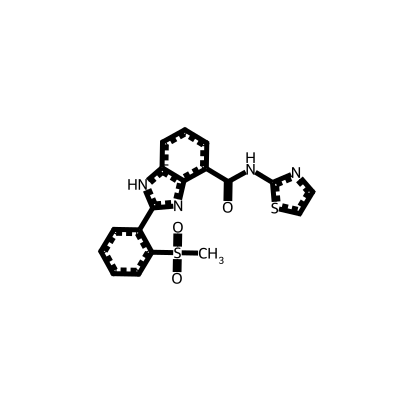 CS(=O)(=O)c1ccccc1-c1nc2c(C(=O)Nc3nccs3)cccc2[nH]1